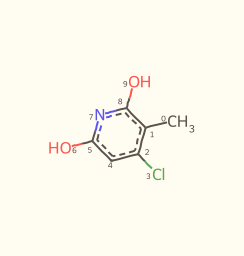 Cc1c(Cl)cc(O)nc1O